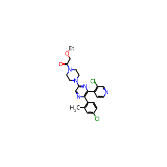 CCOCC(=O)N1CCN(c2cnc(-c3ccc(Cl)cc3C)c(-c3ccncc3Cl)n2)CC1